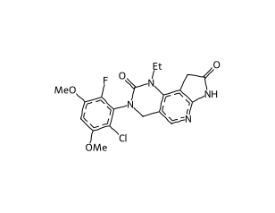 CCN1C(=O)N(c2c(F)c(OC)cc(OC)c2Cl)Cc2cnc3c(c21)CC(=O)N3